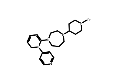 CC(C)N1CCC(N2CCCN(C3=CC=CCN3c3ccncc3)CC2)CC1